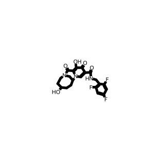 O=C(NCc1c(F)cc(F)cc1F)c1cn2c(c(O)c1=O)C(=O)N1CCC(O)CCC2C1